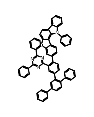 c1ccc(-c2ccc(-c3ccccc3)c(-c3ccc(-c4ccc5c(c4)oc4ccc6c7ccccc7n(-c7ccccc7)c6c45)c(-c4nc(-c5ccccc5)nc(-c5ccccc5)n4)c3)c2)cc1